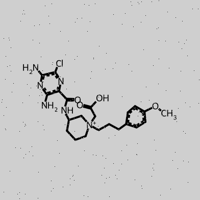 COc1ccc(CCC[N+]2(CC(=O)O)CCCC(NC(=O)c3nc(Cl)c(N)nc3N)C2)cc1